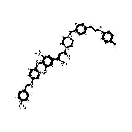 C/C(=C\C(=O)N1CCN(Cc2ccc(CCOc3ccc(F)cc3)cc2)CC1)c1cc(C)c(Oc2ccc(OCc3ccc(C)cc3)cn2)c(Cl)c1